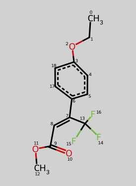 CCOc1ccc(C(=CC(=O)OC)C(F)(F)F)cc1